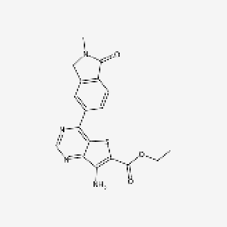 CCOC(=O)c1sc2c(-c3ccc4c(c3)CN(C)C4=O)ncnc2c1N